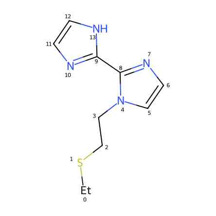 CCSCCn1ccnc1-c1ncc[nH]1